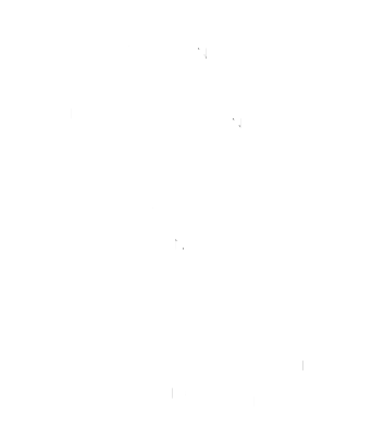 CC1c2[nH]c(=O)[nH]c(=O)c2C(O)=C(F)C1(C1CC1)N1CC2CC(F)(F)C(O)C2C1